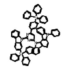 c1ccc(-n2c3ccccc3c3c2ccc2c4ccccc4n(-c4cc(-c5ccc([Si](c6ccccc6)(c6ccccc6)c6ccccc6)cc5)nc(-n5c6ccccc6c6ccc([Si](c7ccccc7)(c7ccccc7)c7ccccc7)cc65)n4)c23)cc1